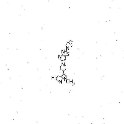 Cn1cc(C2CCN(c3cnc4nc(N5CCOCC5)sc4c3)CC2)c2cc(F)cnc21